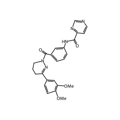 COc1ccc(C2=NN(C(=O)c3cccc(NC(=O)c4ccncn4)c3)CCC2)cc1OC